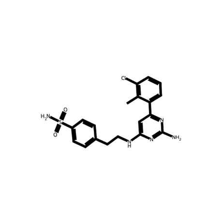 Cc1c(Cl)cccc1-c1cc(NCCc2ccc(S(N)(=O)=O)cc2)nc(N)n1